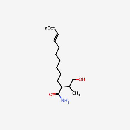 CCCCCCCCC=CCCCCCCC(C(N)=O)C(C)CO